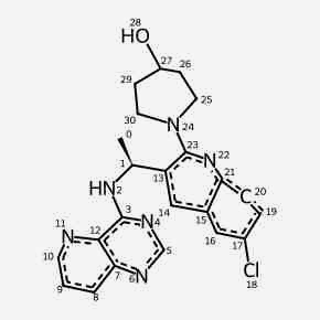 C[C@H](Nc1ncnc2cccnc12)c1cc2cc(Cl)ccc2nc1N1CCC(O)CC1